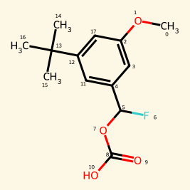 COc1cc(C(F)OC(=O)O)cc(C(C)(C)C)c1